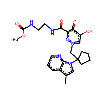 Cc1cn(C2(Cn3cc(O)c(=O)c(C(=O)NCCNC(=O)OC(C)(C)C)n3)CCCC2)c2ncccc12